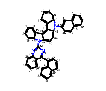 c1ccc2cc(-n3c4ccccc4c4c5c6ccccc6n(-c6nc(-c7cccc8ccccc78)c7ccccc7n6)c5ccc43)ccc2c1